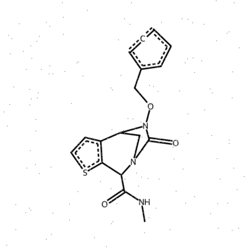 CNC(=O)C1c2sccc2C2CN1C(=O)N2OCc1ccccc1